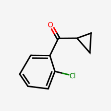 O=C(c1ccccc1Cl)C1CC1